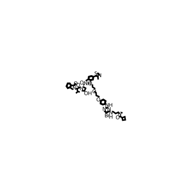 Cc1ncsc1-c1ccc(CNC(=O)[C@@H]2C[C@@H](O)CN2C(=O)C(C(C)C)N2Cc3ccccc3C2=O)c(OCCCOCCCOc2ccc(Nc3ncc(Br)c(NCCCN(C)C(=O)C4CCC4)n3)cc2)c1